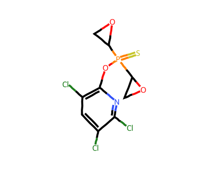 S=P(Oc1nc(Cl)c(Cl)cc1Cl)(C1CO1)C1CO1